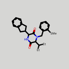 CCC(CC)C1C(=O)NC(C2Cc3ccccc3C2)C(=O)N1Cc1ccccc1SC